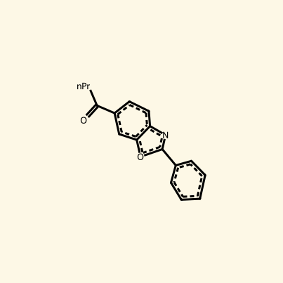 CCCC(=O)c1ccc2nc(-c3ccccc3)oc2c1